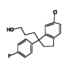 OCCCC1(c2ccc(F)cc2)CCc2ccc(Cl)cc21